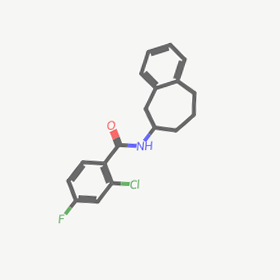 O=C(NC1CCCc2ccccc2C1)c1ccc(F)cc1Cl